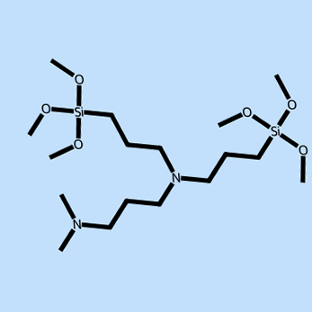 CO[Si](CCCN(CCCN(C)C)CCC[Si](OC)(OC)OC)(OC)OC